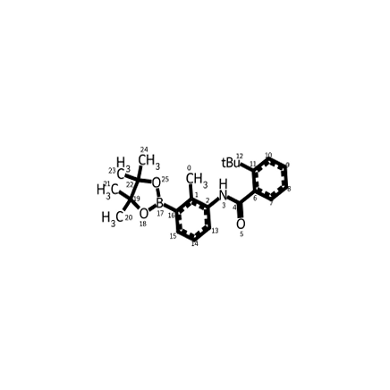 Cc1c(NC(=O)c2ccccc2C(C)(C)C)cccc1B1OC(C)(C)C(C)(C)O1